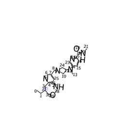 CC/C1=C/c2ncc(CN3CC(N(C)c4ccc(C(=O)NC)nc4)C3)cc2NCOC1